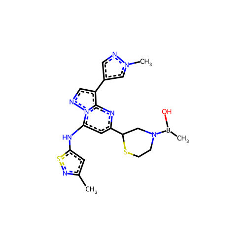 CB(O)N1CCSC(c2cc(Nc3cc(C)ns3)n3ncc(-c4cnn(C)c4)c3n2)C1